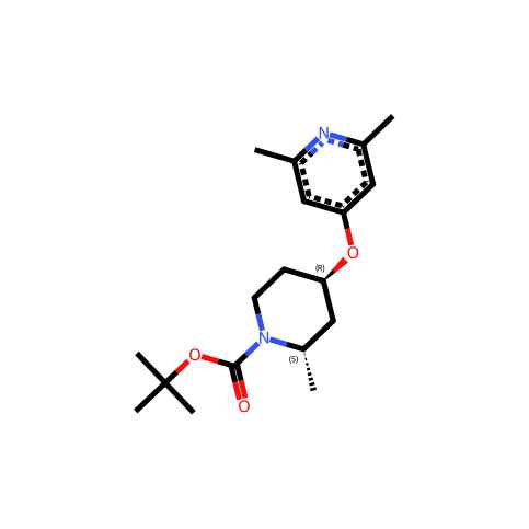 Cc1cc(O[C@@H]2CCN(C(=O)OC(C)(C)C)[C@@H](C)C2)cc(C)n1